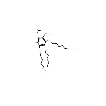 CCCCCCOc1c(O)c(OC(=O)O)c(CC)c(OCCCCCC)c1OCCCCCC